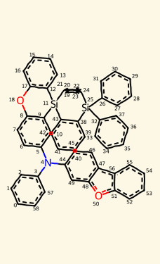 c1ccc(N(c2ccc3c(c2)[Si]2(c4ccccc4O3)c3ccccc3[Si](c3ccccc3)(c3ccccc3)c3ccccc32)c2ccc3c(c2)oc2ccccc23)cc1